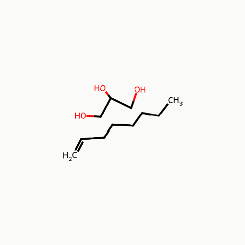 C=CCCCCCC.OCC(O)CO